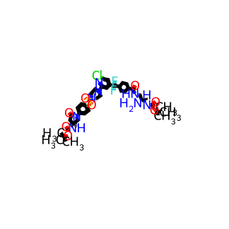 CC(C)(C)OC(=O)NCC(N)CNC(=O)C1CCC(C(F)(F)c2cc(Cl)nc(N3CCN(S(=O)(=O)c4ccc(N5C[C@H](NC(=O)OC(C)(C)C)CC5=O)cc4)CC3)c2)CC1